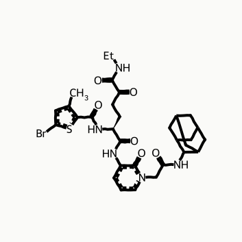 CCNC(=O)C(=O)CC[C@H](NC(=O)c1sc(Br)cc1C)C(=O)Nc1cccn(CC(=O)NC2C3CC4CC(C3)CC2C4)c1=O